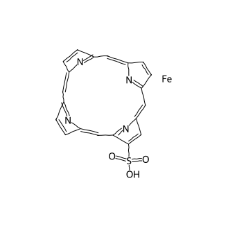 O=S(=O)(O)C1=CC2=CC3=NC(=CC4=NC(=CC5=NC(=CC1=N2)C=C5)C=C4)C=C3.[Fe]